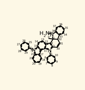 CC12c3c(n(-c4ccccc4)c4c3ccc3c4c4ccccc4n3-c3ccccc3)C=CC1c1ccccc1N2N